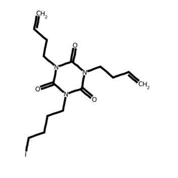 C=CCCn1c(=O)n(CCC=C)c(=O)n(CCCCI)c1=O